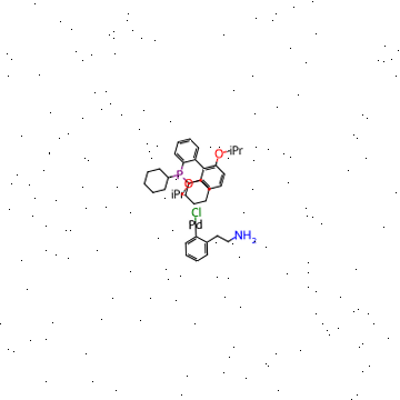 CC(C)Oc1cccc(OC(C)C)c1-c1ccccc1P(C1CCCCC1)C1CCCCC1.NCCc1cccc[c]1[Pd][Cl]